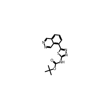 CC(C)(C)OC(=O)Nc1nnc(-c2cccc3cnncc23)s1